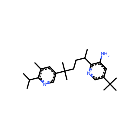 Cc1cc(C(C)(C)CCC(C)c2ncc(C(C)(C)C)cc2N)cnc1C(C)C